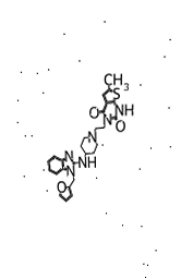 Cc1cc2c(=O)n(CCN3CCC(Nc4nc5ccccc5n4Cc4ccco4)CC3)c(=O)[nH]c2s1